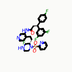 O=C(C[C@@H](c1ccc(F)cc1)c1cc(F)cc(F)c1)Nc1cncc(F)c1CC[C@H]1CNCCN1S(=O)(=O)c1ccccn1